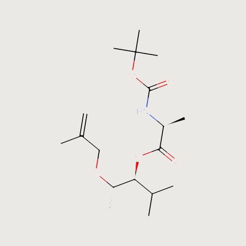 C=C(C)CO[C@@H](C)[C@@H](OC(=O)[C@H](C)NC(=O)OC(C)(C)C)C(C)C